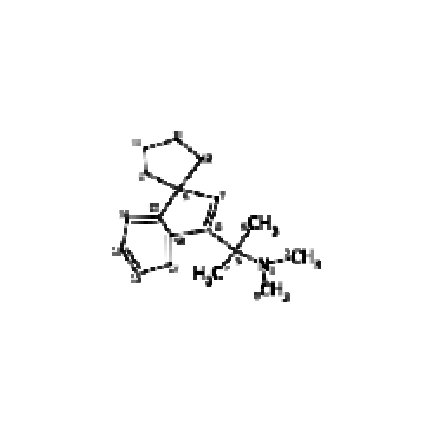 CN(C)C(C)(C)C1=CC2(CCCC2)c2ccccc21